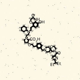 CCC(CC)c1nc(C(=O)N2CCOC3(CCN(Cc4cccc(CCOC5CCN(CCN(CCc6ccc(O)c7c6OCC(=O)N7)C6CCCCC6)[C@@H]5C(=O)O)c4)CC3)C2)cs1